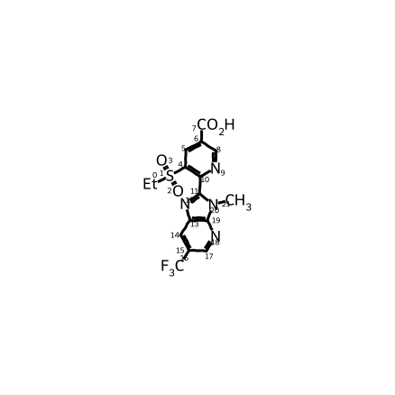 CCS(=O)(=O)c1cc(C(=O)O)cnc1-c1nc2cc(C(F)(F)F)cnc2n1C